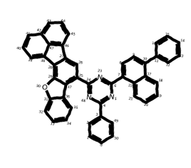 c1ccc(-c2nc(-c3ccc(-c4ccccc4)c4ccccc34)nc(-c3cc4c(c5oc6ccccc6c35)-c3cccc5cccc-4c35)n2)cc1